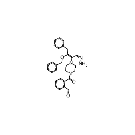 N/N=C\C(=C(/Cc1ccccc1)OCc1ccccc1)N1CCN(C(=O)c2ccccc2C=O)CC1